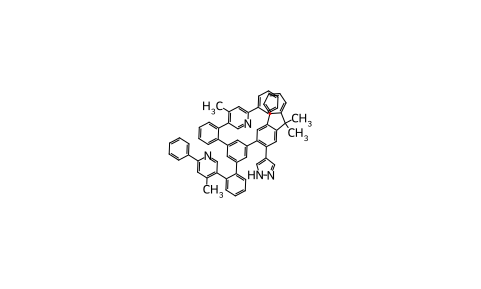 Cc1cc(-c2ccccc2)ncc1-c1ccccc1-c1cc(-c2cc3c(cc2-c2cn[nH]c2)C(C)(C)c2ccccc2-3)cc(-c2ccccc2-c2cnc(-c3ccccc3)cc2C)c1